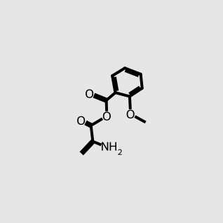 C=C(N)C(=O)OC(=O)c1ccccc1OC